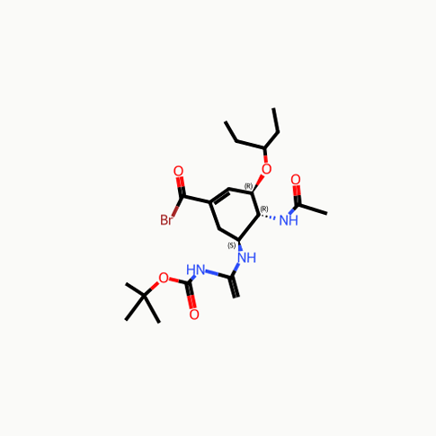 C=C(NC(=O)OC(C)(C)C)N[C@H]1CC(C(=O)Br)=C[C@@H](OC(CC)CC)[C@@H]1NC(C)=O